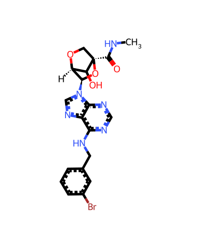 CNC(=O)[C@@]12CO[C@@H](C1O)[C@H](n1cnc3c(NCc4cccc(Br)c4)ncnc31)O2